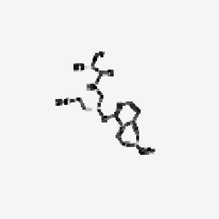 COc1ccc2c(O[C@H](CCC=O)CNC(=O)[C@@H](O)C(C)C)nccc2c1